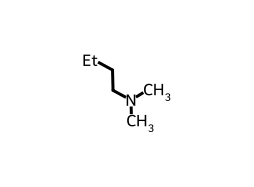 [CH2]CCCN(C)C